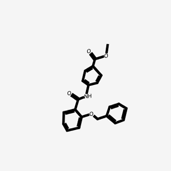 COC(=O)c1ccc(NC(=O)c2ccccc2OCc2ccccc2)cc1